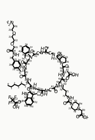 CCCCCC[C@@H]1NC(=O)[C@H](Cc2ccc(CNC(=O)COCCOCCN)cc2)NC(=O)[C@H](Cc2ccccc2)N(C)C(=O)CNC(=O)CNC(=O)[C@H]2CCCN2C(=O)[C@H](CC(=O)O)NC(=O)[C@H](CCCCNC(=O)N2CCN(CC(=O)O)CC2)NC(=O)CNC(=O)[C@H](Cc2c[nH]c3ccccc23)NC1=O.O=C(O)C(F)(F)F